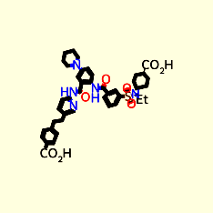 CCN([C@H]1CC[C@H](C(=O)O)CC1)S(=O)(=O)c1cccc(C(=O)Nc2ccc(N3CCCCC3)cc2C(=O)Nc2ccc(CCc3ccc(C(=O)O)cc3)cn2)c1